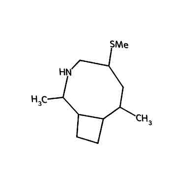 CSC1CNC(C)C2CCC2C(C)C1